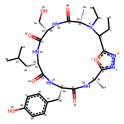 CCC1c2nnc(o2)[C@H](C)NC(=O)[C@H](Cc2ccc(O)cc2)NC(=O)[C@H](CC(C)C)NC(=O)[C@H](CO)NC(=O)[C@H](I)N1CC